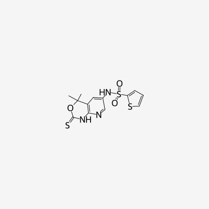 CC1(C)OC(=S)Nc2ncc(NS(=O)(=O)c3cccs3)cc21